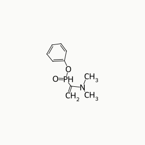 C=C(N(C)C)[PH](=O)Oc1ccccc1